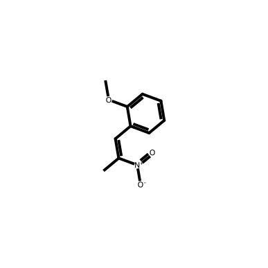 COc1ccccc1/C=C(/C)[N+](=O)[O-]